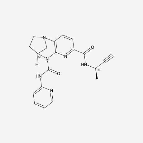 C#C[C@@H](C)NC(=O)c1ccc2c(n1)N(C(=O)Nc1ccccn1)[C@H]1CCN2C1